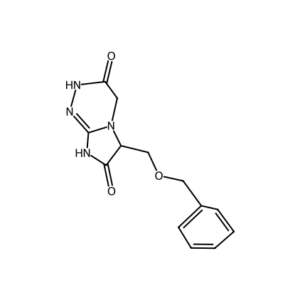 O=C1CN2C(=NN1)NC(=O)C2COCc1ccccc1